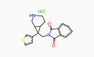 Cl.O=C1c2ccccc2C(=O)N1CC1(c2ccsc2)C2CCNCC21